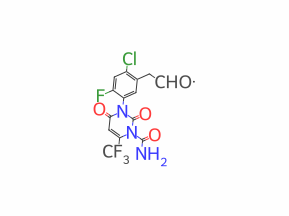 NC(=O)n1c(C(F)(F)F)cc(=O)n(-c2cc(C[C]=O)c(Cl)cc2F)c1=O